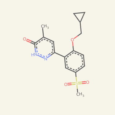 Cc1cc(-c2cc(S(C)(=O)=O)ccc2OCC2CC2)n[nH]c1=O